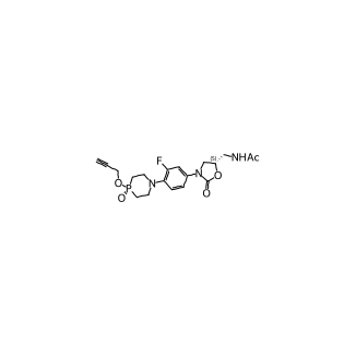 C#CCOP1(=O)CCN(c2ccc(N3C[C@H](CNC(C)=O)OC3=O)cc2F)CC1